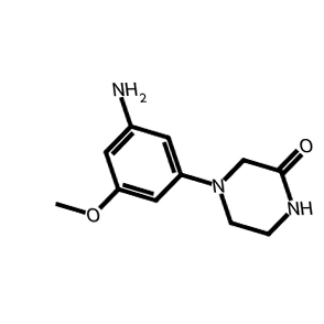 COc1cc(N)cc(N2CCNC(=O)C2)c1